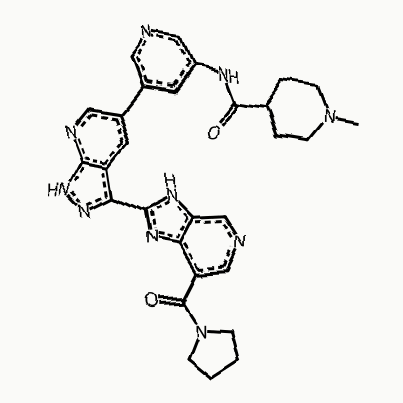 CN1CCC(C(=O)Nc2cncc(-c3cnc4[nH]nc(-c5nc6c(C(=O)N7CCCC7)cncc6[nH]5)c4c3)c2)CC1